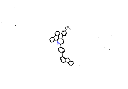 FC(F)(F)c1ccc(C2CCC(c3ccc(-c4cccc5c4Cc4ccccc4-5)cc3)=Nc3c2c2ccccc2c2ccccc32)cc1